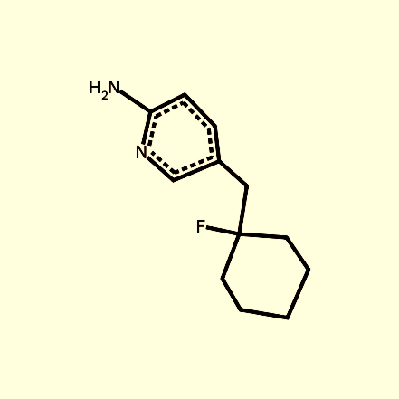 Nc1ccc(CC2(F)CCCCC2)cn1